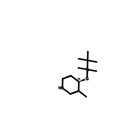 CC1CNCC[C@@H]1O[Si](C)(C)C(C)(C)C